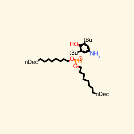 CC(C)(C)c1cc(N)cc(C(C)(C)C)c1O.CCCCCCCCCCCCCCCCCCO[PH](=O)OCCCCCCCCCCCCCCCCCC